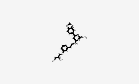 Cc1nc(NCCc2cccc(OCC(O)CF)c2)cc(-c2ccc3ncsc3c2)n1